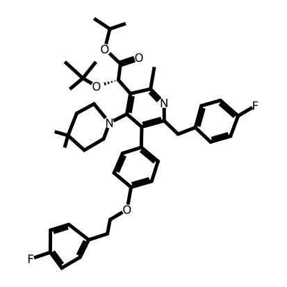 Cc1nc(Cc2ccc(F)cc2)c(-c2ccc(OCCc3ccc(F)cc3)cc2)c(N2CCC(C)(C)CC2)c1[C@H](OC(C)(C)C)C(=O)OC(C)C